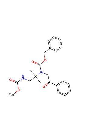 CC(C)(C)OC(=O)NCC(C)(C)N(CC(=O)c1ccccc1)C(=O)OCc1ccccc1